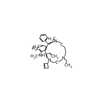 C=CC1=C\N(C2C=CC2)CCCN(CC)CCCCCN(C)/C=C(c2ccccc2)/C(C=C)=C\1C(=C)NC